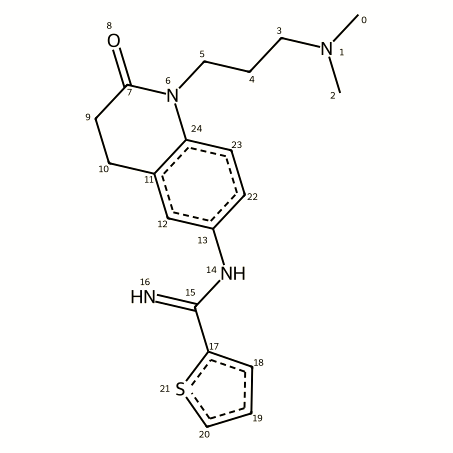 CN(C)CCCN1C(=O)CCc2cc(NC(=N)c3cccs3)ccc21